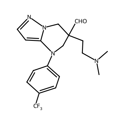 CN(C)CCC1(C=O)CN(c2ccc(C(F)(F)F)cc2)c2ccnn2C1